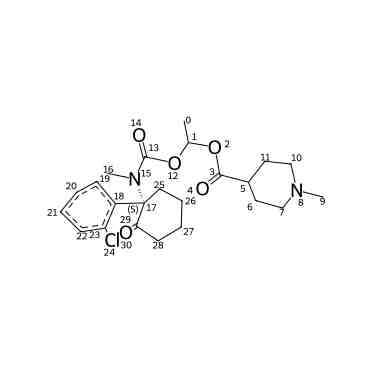 CC(OC(=O)C1CCN(C)CC1)OC(=O)N(C)[C@]1(c2ccccc2Cl)CCCCC1=O